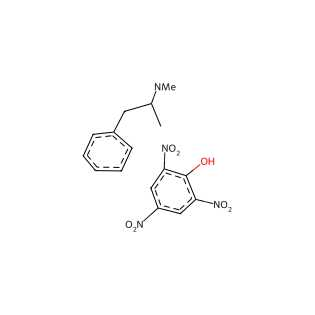 CNC(C)Cc1ccccc1.O=[N+]([O-])c1cc([N+](=O)[O-])c(O)c([N+](=O)[O-])c1